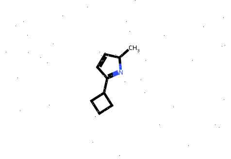 CC1C=CC(C2CCC2)=N1